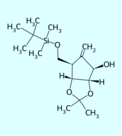 C=C1[C@@H](O)[C@@H]2OC(C)(C)O[C@@H]2[C@H]1CO[Si](C)(C)C(C)(C)C